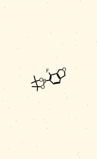 CC1(C)OB(c2ccc3c(c2F)COC3)OC1(C)C